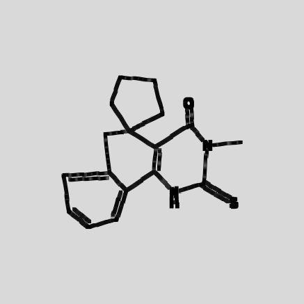 Cn1c(=S)[nH]c2c(c1=O)C1(CCCC1)Cc1ccccc1-2